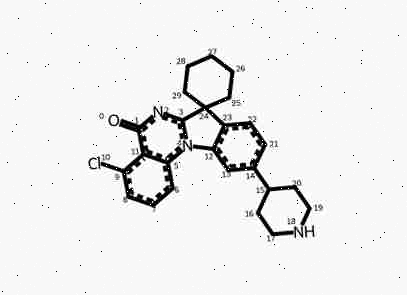 O=c1nc2n(c3cccc(Cl)c13)-c1cc(C3CCNCC3)ccc1C21CCCCC1